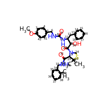 COc1ccc(CNC(=O)NC(Cc2ccccc2)[C@H](O)C(=O)N2CSC(C)(C)C2C(=O)NCc2ccccc2C)cc1